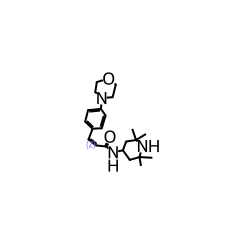 CC1(C)CC(NC(=O)/C=C\c2ccc(N3CCOCC3)cc2)CC(C)(C)N1